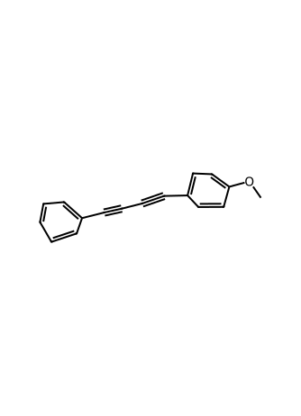 COc1ccc(C#CC#Cc2ccccc2)cc1